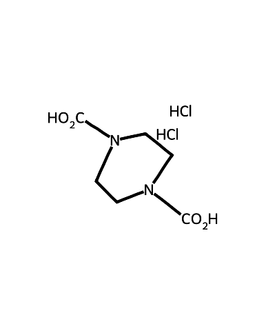 Cl.Cl.O=C(O)N1CCN(C(=O)O)CC1